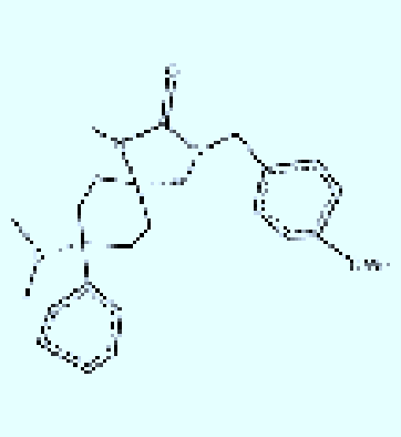 COc1ccc(CN2C[C@]3(CC[C@@](c4ccccc4)(N(C)C)CC3)N(C)C2=O)cc1